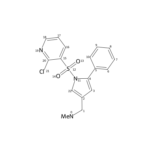 CNCc1cc(-c2ccccc2)n(S(=O)(=O)c2cccnc2Cl)c1